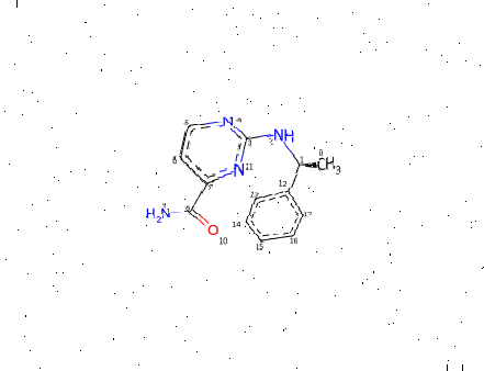 C[C@H](Nc1nccc(C(N)=O)n1)c1ccccc1